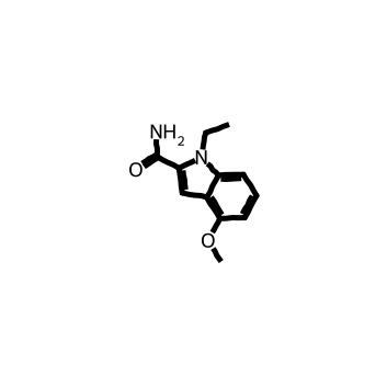 CCn1c(C(N)=O)cc2c(OC)cccc21